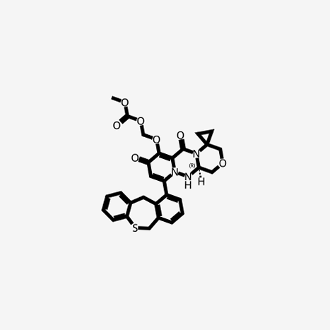 COC(=O)OCOc1c2n(c(-c3cccc4c3Cc3ccccc3SC4)cc1=O)N[C@@H]1COCC3(CC3)N1C2=O